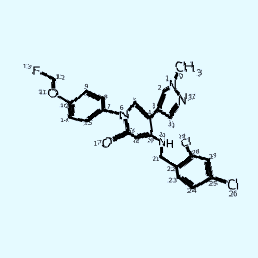 Cn1cc(-c2cn(-c3ccc(OCF)cc3)c(=O)cc2NCc2ccc(Cl)cc2Cl)cn1